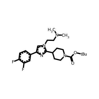 CN(C)CCn1cc(-c2ccc(F)c(F)c2)nc1C1CCN(C(=O)OC(C)(C)C)CC1